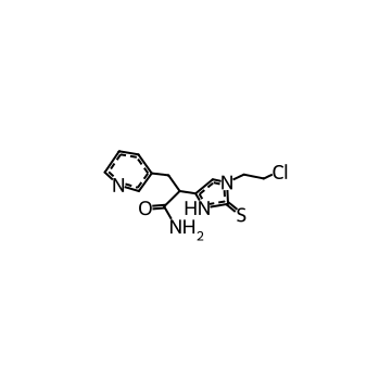 NC(=O)C(Cc1cccnc1)c1cn(CCCl)c(=S)[nH]1